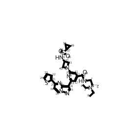 CCN(CC)[C@@H](C)CNC(=O)c1cc(-c2cnn3ccc(-c4cccs4)nc23)nc(N2CC(NS(=O)(=O)C3CC3)C2)c1